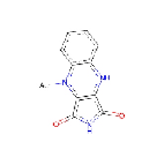 CC(=O)n1c2c(=O)[nH]c(=O)c=2[nH]c2ccccc21